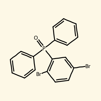 O=P(c1ccccc1)(c1ccccc1)c1cc(Br)ccc1Br